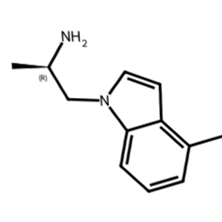 Cc1cccc2c1ccn2C[C@@H](C)N